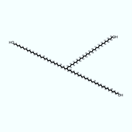 OCCCCCCCCCCCCCCCCCCCCCCCCCCCCCCCC(CCCCCCCCCCCCCCCCCCCCCCCCCCCCCO)CCCCCCCCCCCCCCCCCCCCCCCCCCCCCCO